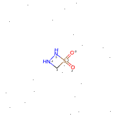 O=S1(=O)CNN1